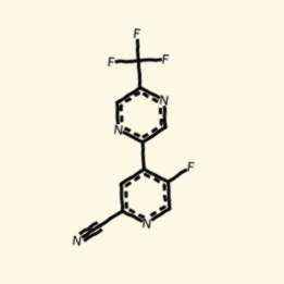 N#Cc1cc(-c2cnc(C(F)(F)F)cn2)c(F)cn1